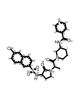 CC(C(=O)N1CCCC(NC(=O)c2ccncc2)C1)N1CCC(NS(=O)(=O)c2ccc3cc(Cl)ccc3c2)C1=O